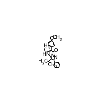 C=C(C)c1c(-c2ccccc2)nn2c(=O)c(-c3ccc(OC)cc3)c(C)[nH]c12